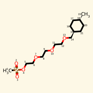 CS(=O)(=O)OCCOCCOCCOC[C@H]1CC[C@H](C)CC1